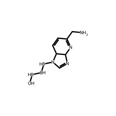 NCC1=NC2N=CN(BBBO)C2C=C1